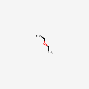 C[CH]OCC